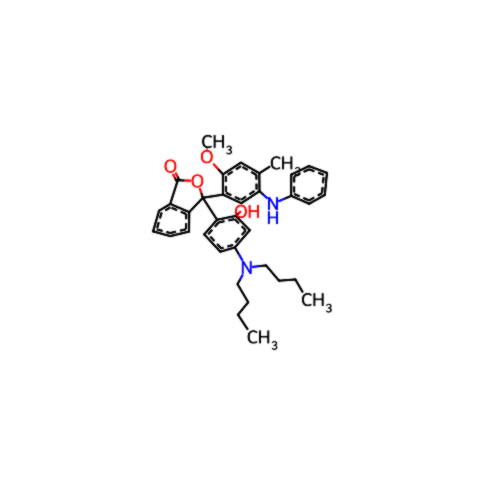 CCCCN(CCCC)c1ccc(C2(c3cc(Nc4ccccc4)c(C)cc3OC)OC(=O)c3ccccc32)c(O)c1